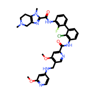 COc1cc(NCc2cnc(C(=O)Nc3cccc(-c4cccc(NC(=O)c5nc6c(n5C)CCN(C)C6)c4F)c3Cl)cc2OC)ccn1